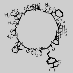 CCC(C)[C@@H]1NC(=O)[C@H](C)N(C)C(=O)C[C@@H](C)N(C)C(=O)[C@H](C2CCCCC2)N(C)C(=O)C(C)(C)N(C)C(=O)[C@@H]2CCCN2C(=O)[C@H](CCc2ccc(C(F)(F)F)c(Cl)c2)NC(=O)CN(C)C(=O)[C@H](CC2CCCCC2)N(C)C(=O)CN(C)C(=O)CN(C)C1=O